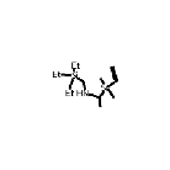 C=C[Si](C)(C)C(C)NC[Si](CC)(CC)CC